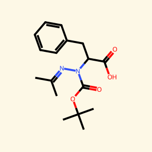 CC(C)=NN(C(=O)OC(C)(C)C)C(Cc1ccccc1)C(=O)O